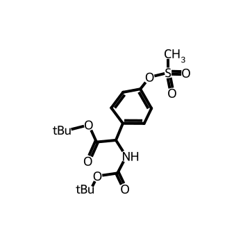 CC(C)(C)OC(=O)NC(C(=O)OC(C)(C)C)c1ccc(OS(C)(=O)=O)cc1